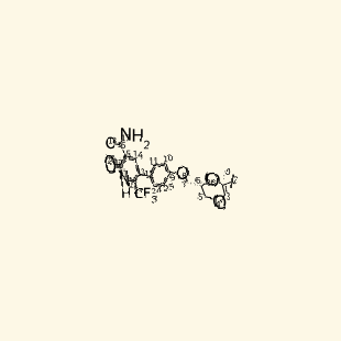 C[C@]1(I)COC[C@H](COc2ccc(-c3cc(C(N)=O)c(=O)[nH]c3C(F)(F)F)cc2)O1